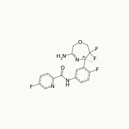 C[C@]1(c2cc(NC(=O)c3ccc(F)cn3)ccc2F)N=C(N)COCC1(F)F